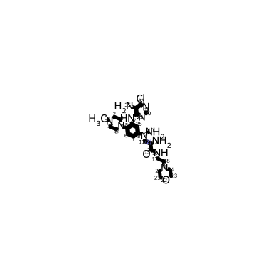 CN1CCN(c2ccc(N(N)/C=C(\N)C(=O)NCCN3CCOCC3)cc2Nc2ncnc(Cl)c2N)CC1